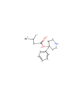 CC(=O)C(C)CC(=O)OC1(c2ccccc2)CCNCC1